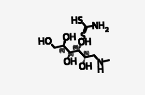 CNC[C@H](O)[C@@H](O)[C@H](O)[C@H](O)CO.NC(=S)S